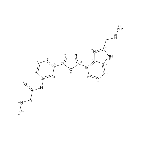 CCCNCC(=O)Nc1cccc(-c2cnc(-c3cccc4[nH]c(CNCCC)nc34)o2)c1